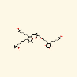 Cc1cc(CC2CC2(CCCCCc2c(O)cc(O)c(O)c2CCCCC(C)(C)C(=O)O)C(=O)O)c(CCCCC(C)(C)C(=O)O)c(CCCCCC2(C(=O)O)CC2)c1C